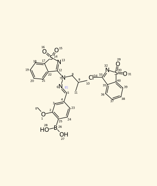 COc1cc(/C=N/N(CC(C)C)C2=NS(=O)(=O)c3ccccc32)ccc1B(O)O.O=S1(=O)N=C(Cl)c2ccccc21